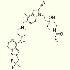 C=CC(=O)N1CCC(O)(CCn2c(C#N)cc3c(C)c(CN4CCC(Nc5ncnc6sc(CC(F)(F)F)cc56)CC4)ccc32)CC1